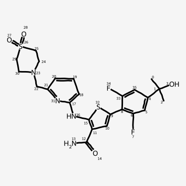 CC(C)(O)c1cc(F)c(-c2cc(C(N)=O)c(Nc3cccc(CN4CCS(=O)(=O)CC4)n3)s2)c(F)c1